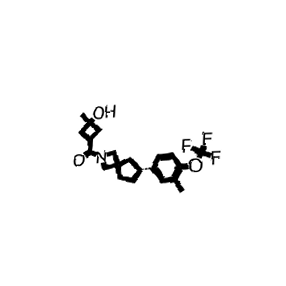 Cc1cc([C@@H]2CCC3(C2)CN(C(=O)C2CC(C)(O)C2)C3)ccc1OC(F)(F)F